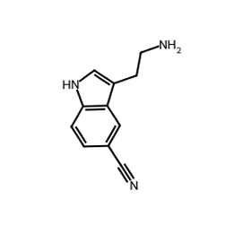 N#Cc1ccc2[nH]cc(CCN)c2c1